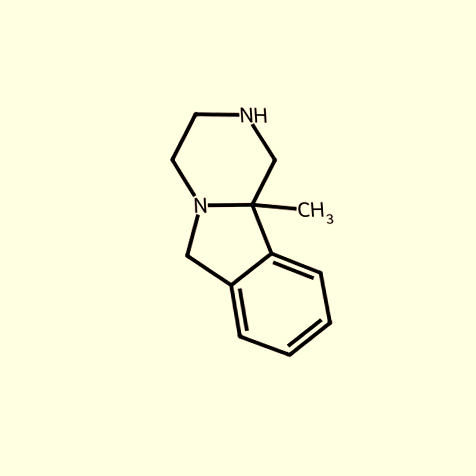 CC12CNCCN1Cc1ccccc12